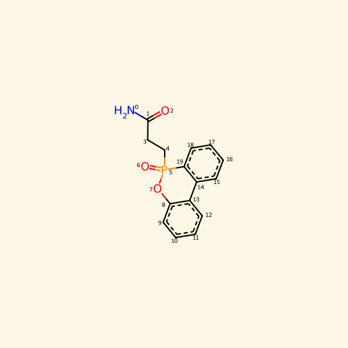 NC(=O)CCP1(=O)Oc2ccccc2-c2ccccc21